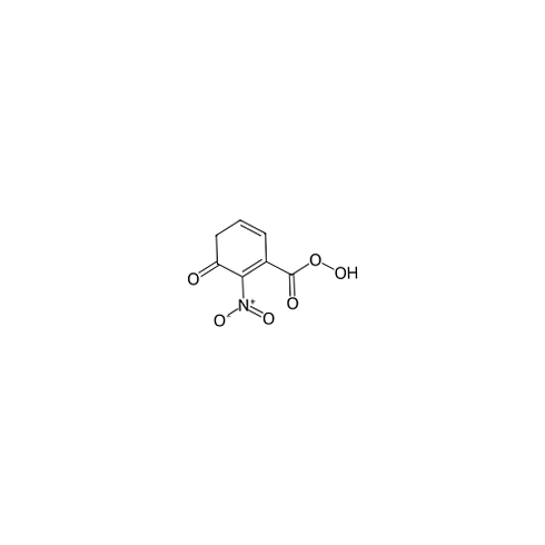 O=C1CC=CC(C(=O)OO)=C1[N+](=O)[O-]